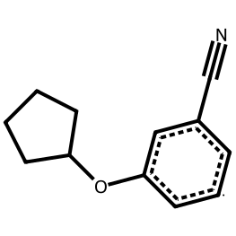 N#Cc1c[c]cc(OC2CCCC2)c1